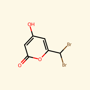 O=c1cc(O)cc(C(Br)Br)o1